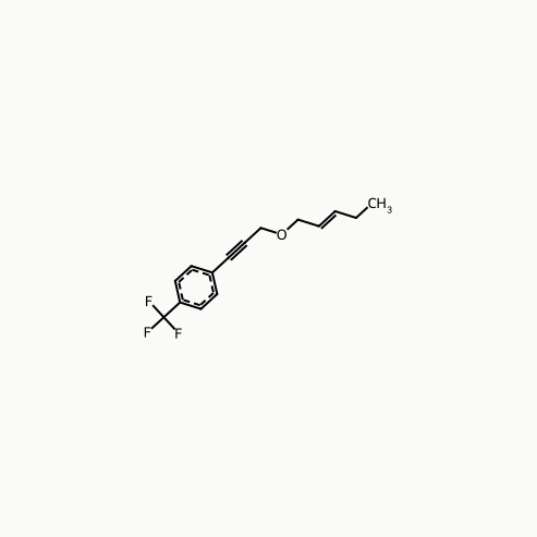 CCC=CCOCC#Cc1ccc(C(F)(F)F)cc1